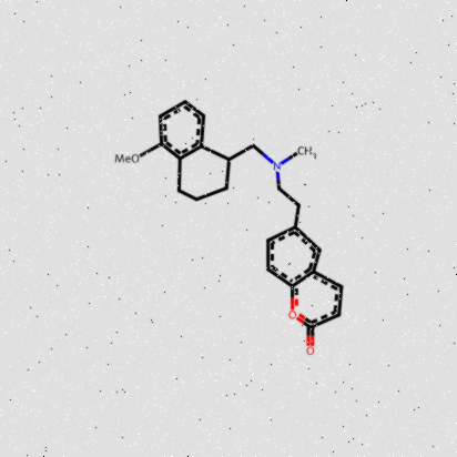 COc1cccc2c1CCCC2CN(C)CCc1ccc2oc(=O)ccc2c1